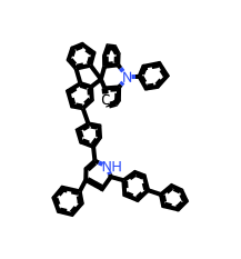 C1=C(c2ccccc2)C=C(c2ccc(-c3ccc4c(c3)C3(c5ccccc5-4)c4ccccc4N(c4ccccc4)c4ccccc43)cc2)NC1c1ccc(-c2ccccc2)cc1